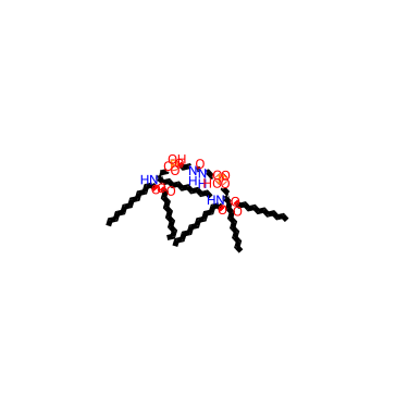 CCCCCCCCCCCCC(=O)N[C@@H](CCOP(=O)(O)OCCNC(=O)NCCOP(=O)(O)OCC[C@H](NC(=O)CCCCCCCCCCCC)C(CCCCCCCCCC)OC(=O)CCCCCCCCCC)C(CCCCCCCCCC)OC(=O)CCCCCCCCCC